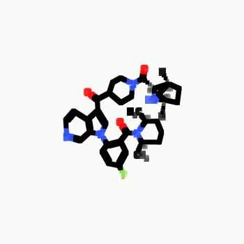 C[C@@H]1CCC[C@H](C)N1C(=O)c1cc(F)ccc1-n1cc(C(=O)C2CCN(C(=O)[C@H]3N[C@@H]4CC[C@H]3C4)CC2)c2ccncc21